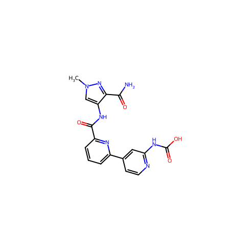 Cn1cc(NC(=O)c2cccc(-c3ccnc(NC(=O)O)c3)n2)c(C(N)=O)n1